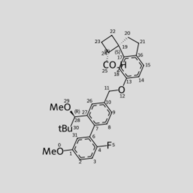 COc1ccc(F)c(-c2ccc(COc3ccc4c(c3)[C@]3(CC4)CC[C@H]3C(=O)O)cc2[C@H](OC)C(C)(C)C)c1